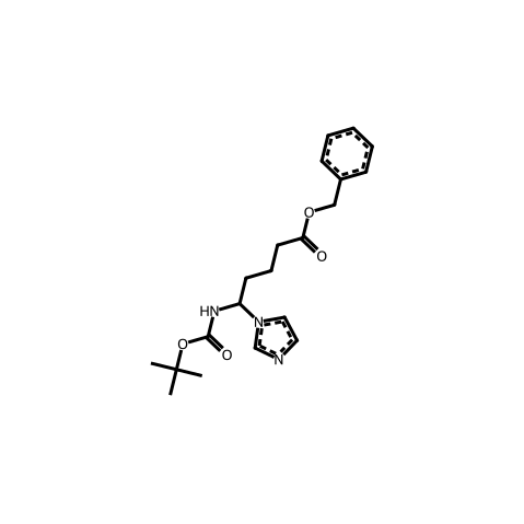 CC(C)(C)OC(=O)NC(CCCC(=O)OCc1ccccc1)n1ccnc1